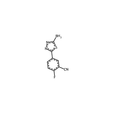 Bc1nnc(-c2ccc(F)c(C#N)c2)s1